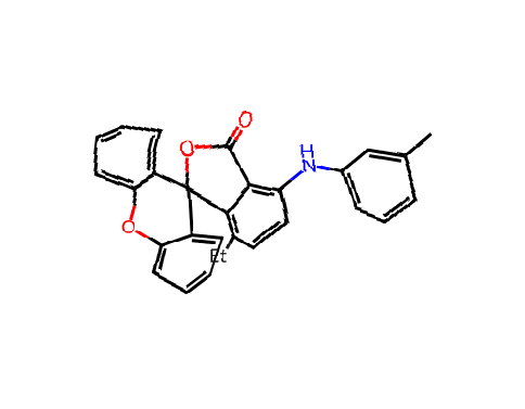 CCc1ccc(Nc2cccc(C)c2)c2c1C1(OC2=O)c2ccccc2Oc2ccccc21